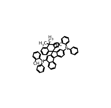 Cc1ccccc1N(c1ccccc1)c1ccc2c(c1)C1(c3ccccc3C(C)(C)c3ccccc31)c1cc(N(c3ccccc3)c3ccccc3C)c3ccccc3c1-2